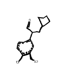 O=CC(CC1CCC1)c1ccc(Cl)c(Cl)c1